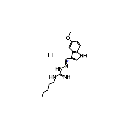 CCCCCNC(=N)N/N=C/c1c[nH]c2ccc(OC)cc12.I